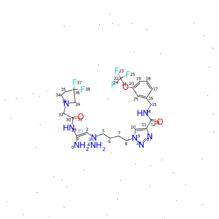 N/C(=C\N(N)CCCCn1cc(C(=O)NCc2cccc(OC(F)(F)F)c2)nn1)NC(=O)CN1CCC(F)(F)C1